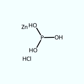 Cl.OP(O)O.[Zn]